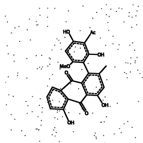 COc1cc(O)c(C(C)=O)c(O)c1-c1c(C)cc(O)c2c1C(=O)c1cccc(O)c1C2=O